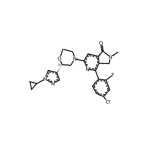 CN1Cc2c(cc(N3CCO[C@@H](c4cnn(C5CC5)c4)C3)nc2-c2ccc(Cl)cc2F)C1=O